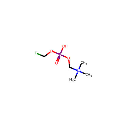 C[N+](C)(C)COP(=O)(O)OCF